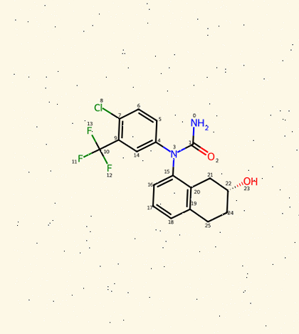 NC(=O)N(c1ccc(Cl)c(C(F)(F)F)c1)c1cccc2c1C[C@H](O)CC2